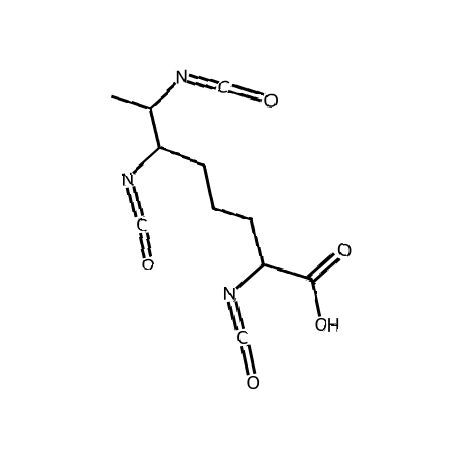 CC(N=C=O)C(CCCC(N=C=O)C(=O)O)N=C=O